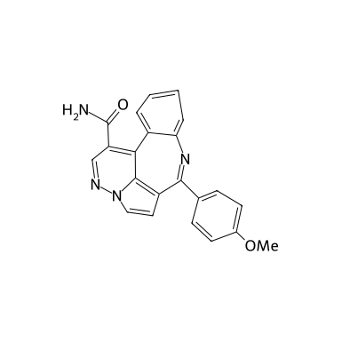 COc1ccc(C2=Nc3ccccc3-c3c(C(N)=O)cnn4ccc2c34)cc1